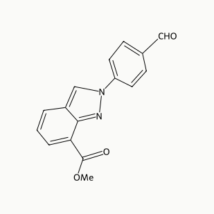 COC(=O)c1cccc2cn(-c3ccc(C=O)cc3)nc12